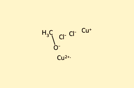 C[O-].[Cl-].[Cl-].[Cu+2].[Cu+]